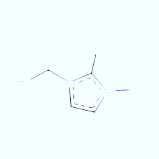 CCCCCCCCCCCn1cc[n+](CCCCCCCCCC)c1CCCCCCC